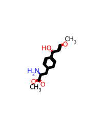 CO/C=C/C(O)C1=CCC(C[C@H](N)C(=O)OC)C=C1